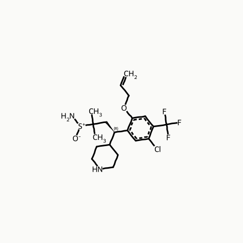 C=CCOc1cc(C(F)(F)F)c(Cl)cc1[C@H](CC(C)(C)[S+](N)[O-])C1CCNCC1